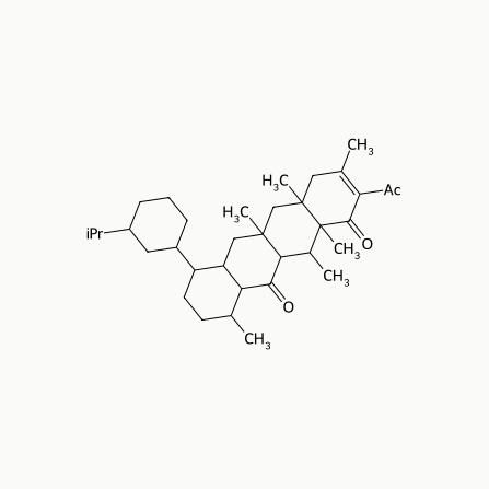 CC(=O)C1=C(C)CC2(C)CC3(C)CC4C(C5CCCC(C(C)C)C5)CCC(C)C4C(=O)C3C(C)C2(C)C1=O